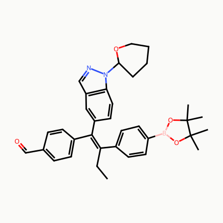 CC/C(=C(\c1ccc(C=O)cc1)c1ccc2c(cnn2C2CCCCO2)c1)c1ccc(B2OC(C)(C)C(C)(C)O2)cc1